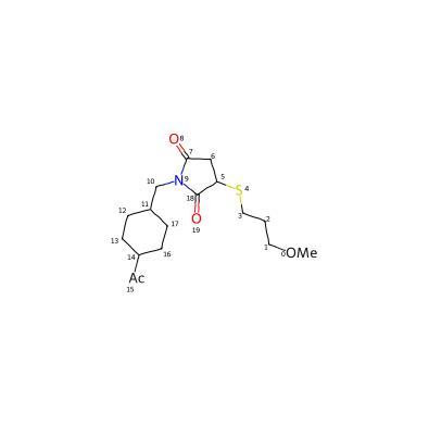 COCCCSC1CC(=O)N(CC2CCC(C(C)=O)CC2)C1=O